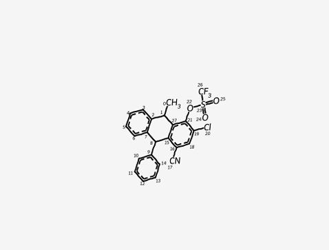 CC1c2ccccc2C(c2ccccc2)c2c(C#N)cc(Cl)c(OS(=O)(=O)C(F)(F)F)c21